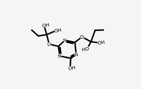 CCC(O)(O)Oc1nc(O)nc(OC(O)(O)CC)n1